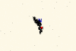 CCCC1CCC([C@H]2CC[C@](C#N)(C3=CC[C@H](CCC)CC3)CC2)CC1